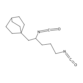 O=C=NCCCC(CC12CCC(CC1)CC2)N=C=O